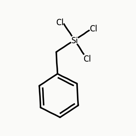 Cl[Si](Cl)(Cl)Cc1ccccc1